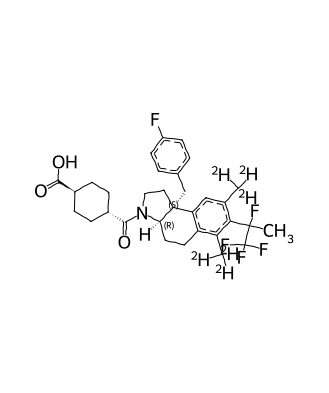 [2H]C([2H])([2H])c1cc2c(c(C([2H])([2H])[2H])c1C(C)(F)C(F)(F)F)CC[C@H]1N(C(=O)[C@H]3CC[C@H](C(=O)O)CC3)CC[C@@]21Cc1ccc(F)cc1